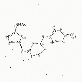 CC(=O)Nc1ncc(CN2CCCC(Cc3ncc(C(F)(F)F)cn3)C2)s1